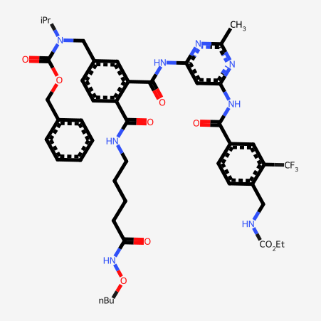 CCCCONC(=O)CCCCNC(=O)c1ccc(CN(C(=O)OCc2ccccc2)C(C)C)cc1C(=O)Nc1cc(NC(=O)c2ccc(CNC(=O)OCC)c(C(F)(F)F)c2)nc(C)n1